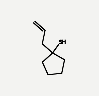 C=CCC1(S)CCCC1